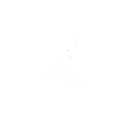 CCC/C=C\C=C(/N)CN(C(N)CCC(C/C=C(\C)F)C1C=C1)C(C)c1ccc2c(c1)SC(C)(C)C2